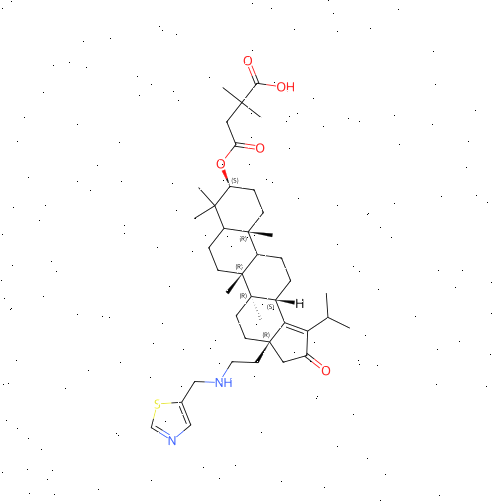 CC(C)C1=C2[C@H]3CCC4[C@@]5(C)CC[C@H](OC(=O)CC(C)(C)C(=O)O)C(C)(C)C5CC[C@@]4(C)[C@]3(C)CC[C@@]2(CCNCc2cncs2)CC1=O